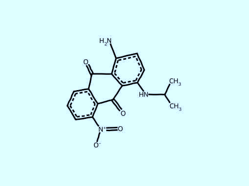 CC(C)Nc1ccc(N)c2c1C(=O)c1c(cccc1[N+](=O)[O-])C2=O